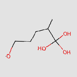 CC(CCC[O])C(O)(O)O